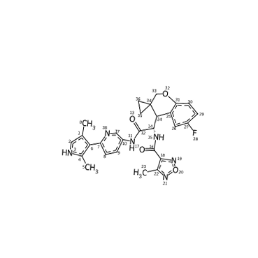 Cc1c[nH]c(C)c1-c1ccc(NC(=O)[C@@H](NC(=O)c2nonc2C)C2c3cc(F)ccc3OCC23CC3)cn1